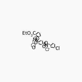 CCOC(=O)c1ccccc1CN(CC1CCOCC1)S(=O)(=O)c1ccc(S(=O)(=O)N(Cc2ccc(Cl)cc2)C2CCCC2)cc1